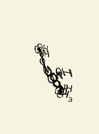 CS(=O)(=O)Nc1ccc2c(c1)C(=NO)CC1(CCN(CCOCCNC(=O)O)CC1)O2